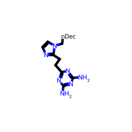 CCCCCCCCCCCn1ccnc1CCc1nc(N)nc(N)n1